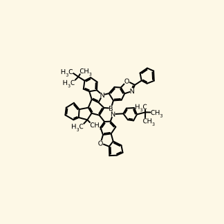 CC(C)(C)c1ccc(N2B3c4cc5nc(-c6ccccc6)oc5cc4-n4c5ccc(C(C)(C)C)cc5c5c6c(c(c3c54)-c3cc4oc5ccccc5c4cc32)C(C)(C)c2ccccc2-6)cc1